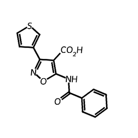 O=C(Nc1onc(-c2ccsc2)c1C(=O)O)c1ccccc1